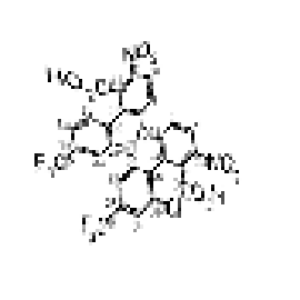 O=C(O)c1c([N+](=O)[O-])ccc(Oc2ccc([N+](=O)[O-])c(C(=O)O)c2-c2ccc(C(F)(F)F)cc2Cl)c1-c1ccc(C(F)(F)F)cc1Cl